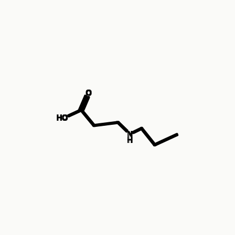 CCCNCCC(=O)O